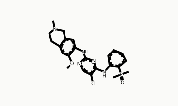 COc1cc2c(cc1Nc1ncc(Cl)c(Nc3cc[c]cc3P(C)(C)=O)n1)CN(C)CC2